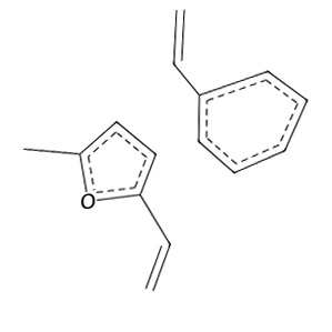 C=Cc1ccc(C)o1.C=Cc1ccccc1